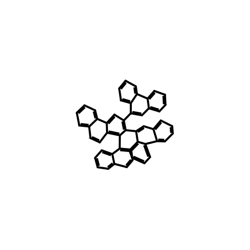 [c]1cc2c(-c3cccc4ccccc34)c(-c3cc4ccccc4c4ccccc34)c(-c3cc4ccccc4c4ccccc34)cc2c2ccccc12